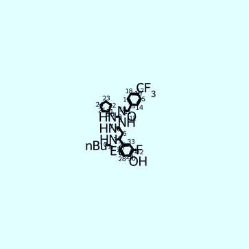 CCCCC(CC)NC(CC(=N)N/C(=N\C(=O)c1ccc(C(F)(F)F)cc1)NC1CCCC1)c1ccc(O)c(F)c1